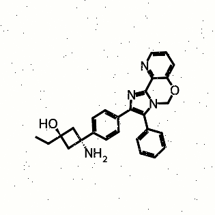 CC[C@]1(O)C[C@@](N)(c2ccc(-c3nc4n(c3-c3ccccc3)COc3cccnc3-4)cc2)C1